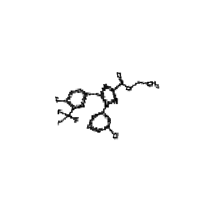 CCOC(=O)c1cc(-c2ccc(F)c(C(F)(F)F)c2)n(-c2cccc(Cl)c2)n1